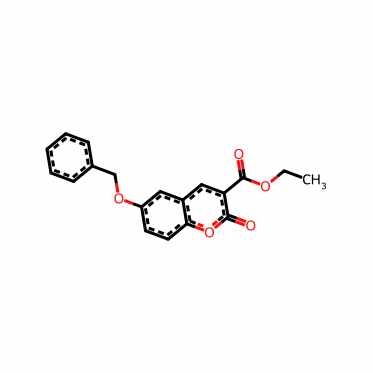 CCOC(=O)c1cc2cc(OCc3ccccc3)ccc2oc1=O